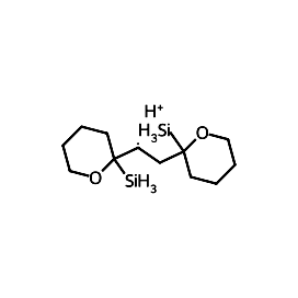 [H+].[SiH3]C1([CH]CC2([SiH3])CCCCO2)CCCCO1